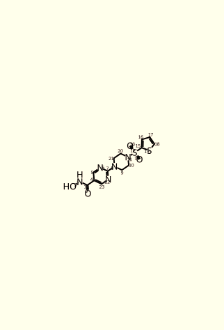 O=C(NO)c1cnc(N2CCN(S(=O)(=O)c3cccs3)CC2)nc1